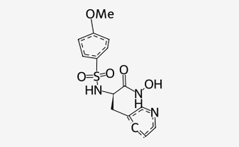 COc1ccc(S(=O)(=O)N[C@H](Cc2cccnc2)C(=O)NO)cc1